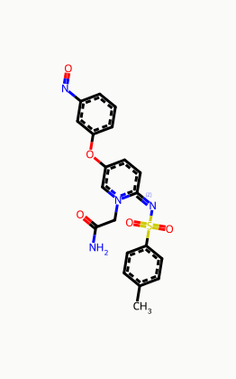 Cc1ccc(S(=O)(=O)/N=c2/ccc(Oc3cccc(N=O)c3)cn2CC(N)=O)cc1